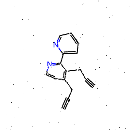 C#CCc1ccnc(-c2ccccn2)c1CC#C